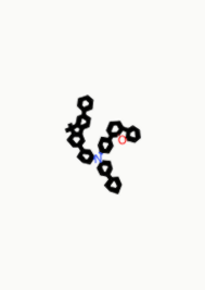 CC1(C)c2ccc(-c3cccc(N(c4ccc(-c5ccccc5)cc4)c4ccc(-c5cccc6c5oc5ccccc56)cc4)c3)cc2-c2ccc(-c3ccccc3)cc21